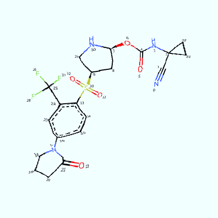 N#CC1(NC(=O)O[C@H]2C[C@@H](S(=O)(=O)c3ccc(N4CCCC4=O)cc3C(F)(F)F)CN2)CC1